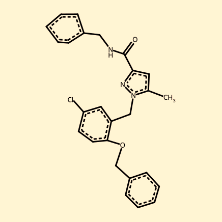 Cc1cc(C(=O)NCc2ccccc2)nn1Cc1cc(Cl)ccc1OCc1ccccc1